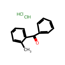 Cc1ccccc1C(=O)c1ccccc1.Cl.Cl